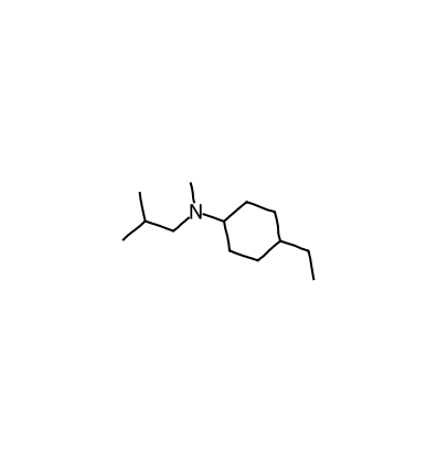 CCC1CCC(N(C)CC(C)C)CC1